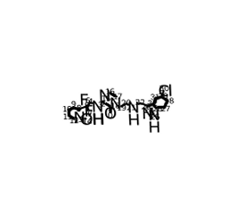 O=c1c(NCC(F)(F)c2cccc[n+]2O)nccn1CCNCc1n[nH]c2ccc(Cl)cc12